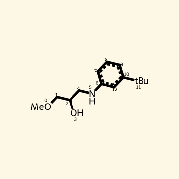 COCC(O)CNc1cccc(C(C)(C)C)c1